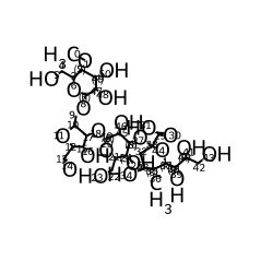 CO[C@@H]1C(CO)O[C@@H](OCC2OC(C=O)C(O)C2O[C@@H]2OC(CO)[C@H](O)[C@H](OC3(C(=O)O)CC(O)[C@@H](C)[C@H]([C@H](O)[C@H](O)CO)O3)C2O)C(O)[C@H]1O